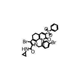 O=C(NC1CC1)c1c(Br)c2c(n1Cc1ccc(Br)cc1)-c1[nH]c(=O)c(S(=O)(=O)c3ccccc3)cc1CC2